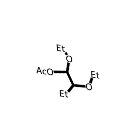 CCOC(CC)C(OCC)OC(C)=O